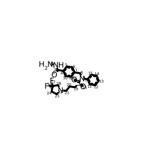 NNC(=O)c1ccc(CN(c2ccccc2)S(=O)(=O)CCCN2CCC(F)(F)C2)cc1